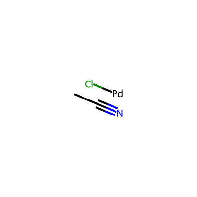 CC#N.[Cl][Pd]